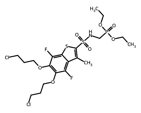 CCOP(=O)(CNS(=O)(=O)c1sc2c(F)c(OCCCCl)c(OCCCCl)c(F)c2c1C)OCC